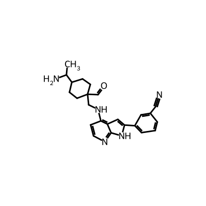 CC(N)C1CCC(C=O)(CNc2ccnc3[nH]c(-c4cccc(C#N)c4)cc23)CC1